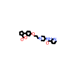 O=C(NC1CCN(CCCOc2ccc3c4c(c(=O)oc3c2)CCC4)CC1)c1cccnc1